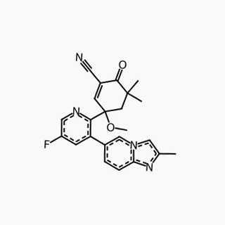 COC1(c2ncc(F)cc2-c2ccc3nc(C)cn3c2)C=C(C#N)C(=O)C(C)(C)C1